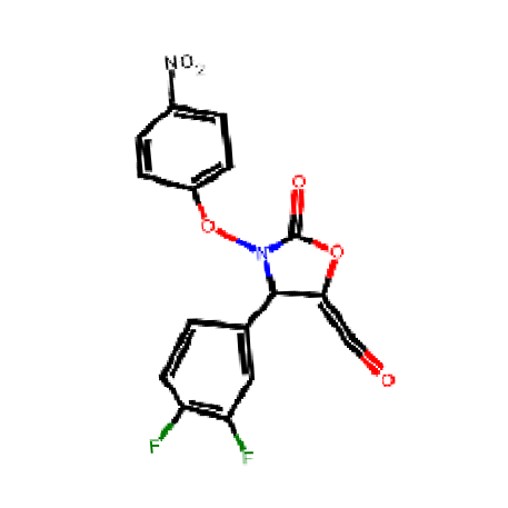 O=C=C1OC(=O)N(Oc2ccc([N+](=O)[O-])cc2)C1c1ccc(F)c(F)c1